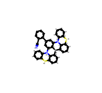 N#Cc1ccccc1-c1cc2c3c(c1)N1c4ccccc4Sc4cccc(c41)B3c1cccc3c1N2c1ccccc1S3